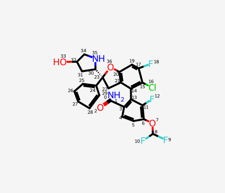 NC(=O)c1ccc(OC(F)F)c(F)c1-c1c(Cl)c(F)cc2c1C[C@](c1ccccc1)(C1CC(O)CN1)O2